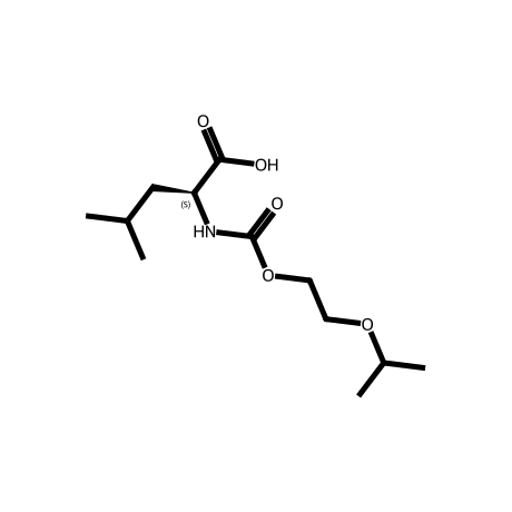 CC(C)C[C@H](NC(=O)OCCOC(C)C)C(=O)O